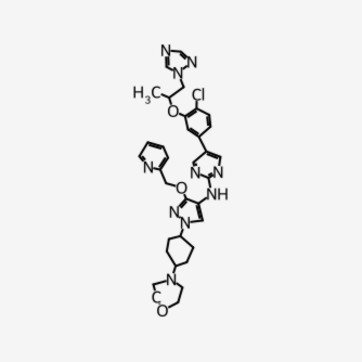 CC(Cn1cncn1)Oc1cc(-c2cnc(Nc3cn(C4CCC(N5CCOCC5)CC4)nc3OCc3ccccn3)nc2)ccc1Cl